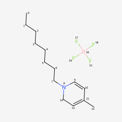 CCCCCCCCN1C=CC(C)=CC1.F[B-](F)(F)F